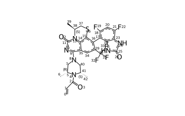 C=CC(=O)N1[C@H](C)CN(c2nc(=O)n3c4c(c(-c5c(F)cc(F)c6[nH]c(=O)[nH]c56)c(C(F)(F)F)cc24)SC[C@@H]3C)C[C@@H]1C